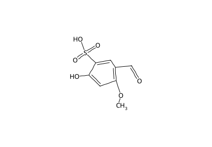 COc1cc(O)c(S(=O)(=O)O)cc1C=O